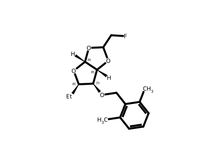 CC[C@H]1O[C@@H]2OC(CF)O[C@@H]2[C@H]1OCc1c(C)cccc1C